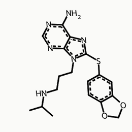 CC(C)NCCCn1c(Sc2ccc3c(c2)OCO3)nc2c(N)ncnc21